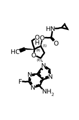 C#C[C@]1(CO)O[C@@H](n2cnc3c(N)nc(F)nc32)C[C@@H]1OC(=O)NC1CC1